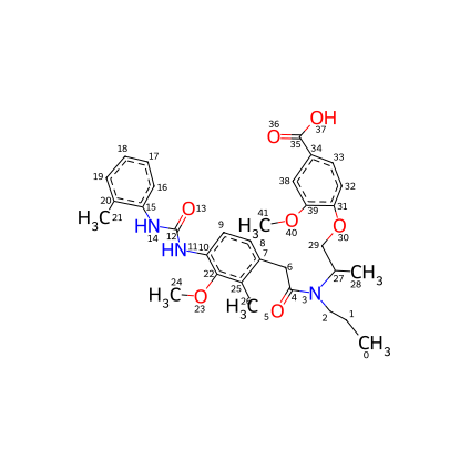 CCCN(C(=O)Cc1ccc(NC(=O)Nc2ccccc2C)c(OC)c1C)C(C)COc1ccc(C(=O)O)cc1OC